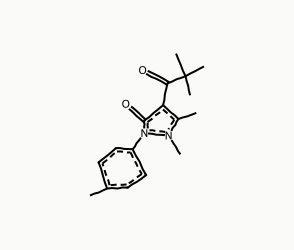 Cc1ccc(-n2c(=O)c(C(=O)C(C)(C)C)c(C)n2C)cc1